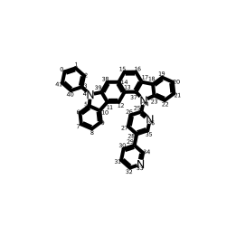 c1ccc(-n2c3ccccc3c3cc4c(ccc5c6ccccc6n(-c6ccc(-c7cccnc7)cn6)c45)cc32)cc1